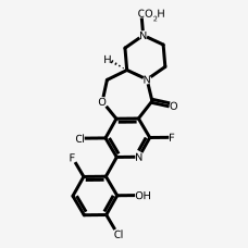 O=C(O)N1CCN2C(=O)c3c(F)nc(-c4c(F)ccc(Cl)c4O)c(Cl)c3OC[C@H]2C1